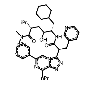 CCCCN(C)C(=O)[C@@H](C[C@H](O)[C@H](CC1CCCCC1)NC(=O)[C@@H](Cc1cccnc1)c1nnc2c(CCC)nc(-c3cccnc3)cn12)C(C)C